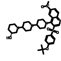 C[S+]([O-])c1ccc2ncc(S(=O)(=O)c3ccc(OC(C)(C)C)cc3)c(N3CCC(N4CCC(N5CCC[C@@H](O)C5)CC4)CC3)c2c1